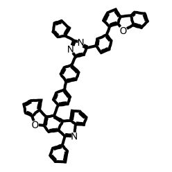 c1ccc(-c2nc(-c3ccc(-c4ccc(-c5c6c(cc7c(-c8ccccc8)nc8ccccc8c57)oc5ccccc56)cc4)cc3)cc(-c3cccc(-c4cccc5c4oc4ccccc45)c3)n2)cc1